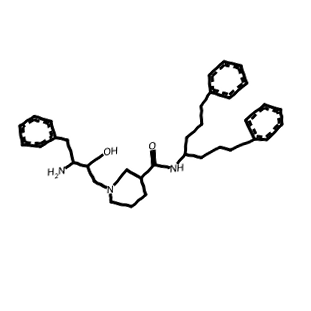 NC(Cc1ccccc1)C(O)CN1CCCC(C(=O)NC(CCCc2ccccc2)CCCc2ccccc2)C1